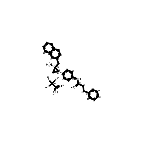 N[C@@]1(Cc2ccc3ccccc3c2)C[C@H]1c1ccc(NC(=O)CCc2ccccc2)cc1.O=C(O)C(F)(F)F